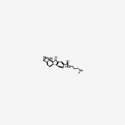 CN(C)CCCNC(=O)c1ccc2c(c1)[nH]c1c2ccc2cn[nH]c21